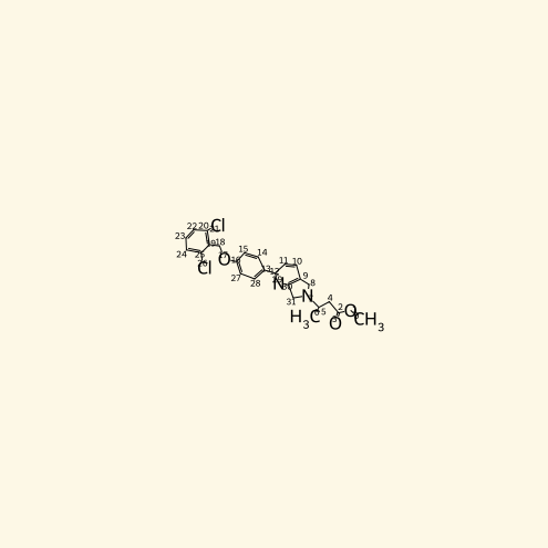 COC(=O)CC(C)N1Cc2ccc(-c3ccc(OCc4c(Cl)cccc4Cl)cc3)nc2C1